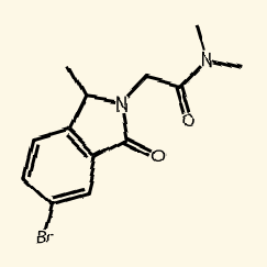 CC1c2ccc(Br)cc2C(=O)N1CC(=O)N(C)C